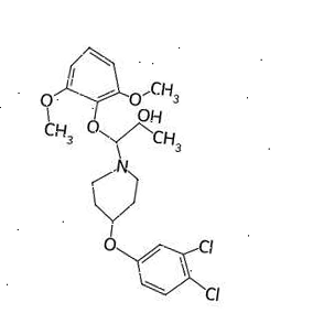 COc1cccc(OC)c1OC(C(C)O)N1CCC(Oc2ccc(Cl)c(Cl)c2)CC1